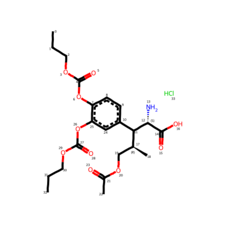 CCCOC(=O)Oc1ccc(C([C@H](N)C(=O)O)[C@@H](C)COC(C)=O)cc1OC(=O)OCCC.Cl